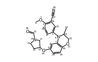 COc1ncc(N2c3cc(OC4CCN(C=O)C4)ccc3OCC2C)cc1C#N